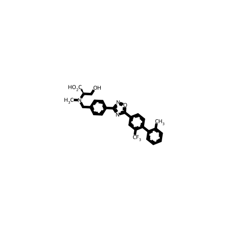 Cc1ccccc1-c1ccc(-c2nc(-c3ccc(CN(C)[C@H](CO)C(=O)O)cc3)no2)cc1C(F)(F)F